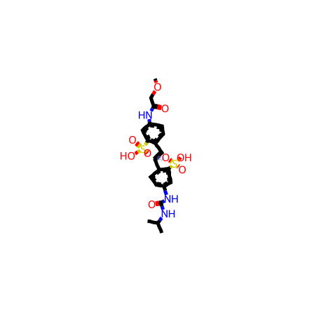 COCC(=O)Nc1ccc(/C=C/c2ccc(NC(=O)NC(C)C)cc2S(=O)(=O)O)c(S(=O)(=O)O)c1